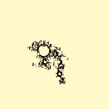 CC[C@H]1OC(=O)[C@H](C)C([C@H]2C[C@@](C)(OC)[C@@H](O)[C@H](C)O2)[C@H](C)[C@@H](O[C@@H]2O[C@H](C)C[C@H](N(C)CCc3cn(Cc4ccc(-n5ccnc5)cc4)nn3)[C@H]2O)[C@](C)(O)C[C@@H](C)CN(C)[C@H](C)[C@@H](O)[C@]1(C)O